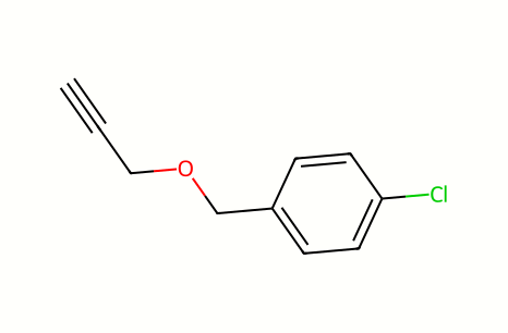 C#CCOCc1ccc(Cl)cc1